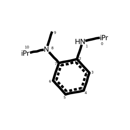 CC(C)Nc1ccccc1N(C)C(C)C